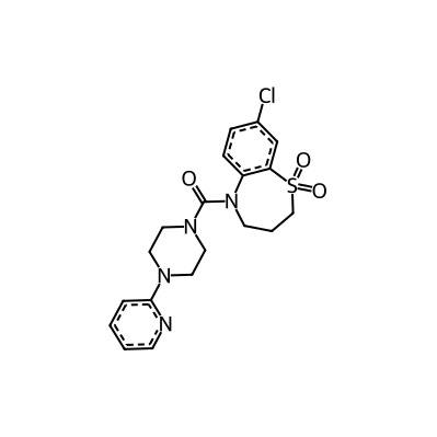 O=C(N1CCN(c2ccccn2)CC1)N1CCCS(=O)(=O)c2cc(Cl)ccc21